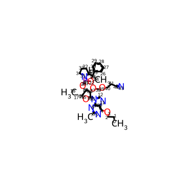 CCCOc1nc(C)nc2c1ncn2[C@@H]1O[C@H](CC)[C@H](O[P@@]2O[C@](C)(c3ccccc3)[C@H]3CCCN32)C1OCOCCC#N